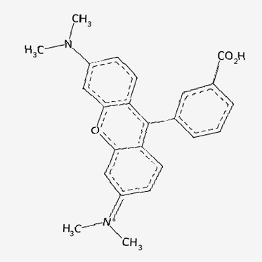 CN(C)c1ccc2c(-c3cccc(C(=O)O)c3)c3ccc(=[N+](C)C)cc-3oc2c1